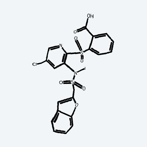 O=C(O)c1ccccc1S(=O)(=O)c1ncc(Cl)cc1N(I)S(=O)(=O)c1cc2ccccc2o1